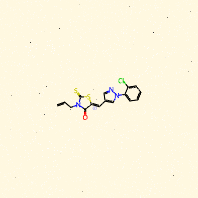 C=CCN1C(=O)/C(=C/c2cnn(-c3ccccc3Cl)c2)SC1=S